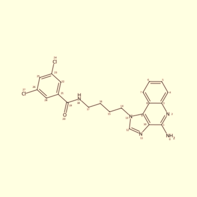 Nc1nc2ccccc2c2c1ncn2CCCCNC(=O)c1cc(Cl)cc(Cl)c1